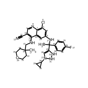 BC(Nc1cc(Cl)c2ncc(C#N)c(NCC3(C)CCOCC3)c2c1)(C1=CN(C2CC2)NN1)c1ccc(F)cc1